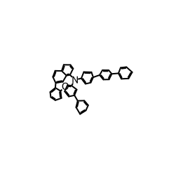 c1ccc(-c2ccc(-c3ccc(N(c4cccc(-c5ccccc5)c4)c4cccc5ccc6c7ccccc7oc6c45)cc3)cc2)cc1